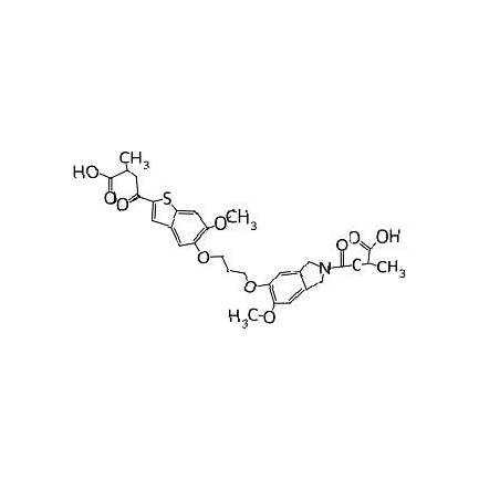 COc1cc2c(cc1OCCCOc1cc3cc(C(=O)CC(C)C(=O)O)sc3cc1OC)CN(C(=O)CC(C)C(=O)O)C2